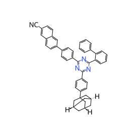 N#Cc1ccc2cc(-c3ccc(-c4nc(-c5ccc(C67C[C@H]8C[C@H](C6)C[C@@H](C7)C8)cc5)nc(-c5ccccc5-c5ccccc5)n4)cc3)ccc2c1